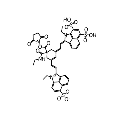 CCNC(=O)C1(C(=O)ON2C(=O)CCC2=O)CC(/C=C/C2=[N+](CC)c3ccc(S(=O)(=O)[O-])c4cccc2c34)=CC(=C/C=c2\c3cccc4c(S(=O)(=O)O)cc(S(=O)(=O)O)c(c43)n2CC)/C1